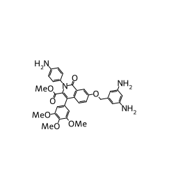 COC(=O)c1c(-c2cc(OC)c(OC)c(OC)c2)c2ccc(OCc3cc(N)cc(N)c3)cc2c(=O)n1-c1ccc(N)cc1